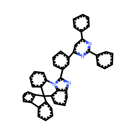 c1ccc(-c2cc(-c3cccc(-c4nc5cccc6c5n4-c4ccccc4C64c5ccccc5-c5ccccc54)c3)nc(-c3ccccc3)n2)cc1